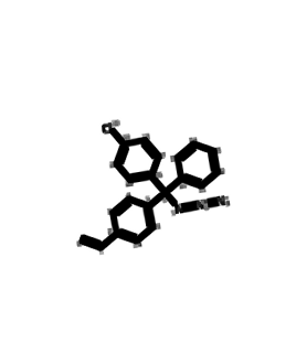 C=Cc1ccc(C(N=[N+]=[N-])(c2ccccc2)c2ccc(Cl)cc2)cc1